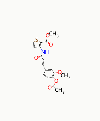 COC(=O)c1sccc1NC(=O)C=Cc1ccc(OC(C)=O)c(OC)c1